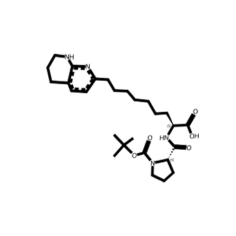 CC(C)(C)OC(=O)N1CCC[C@H]1C(=O)N[C@@H](CCCCCCCc1ccc2c(n1)NCCC2)C(=O)O